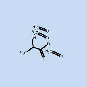 C=O.C=O.C=O.CCC(=O)C(C)O